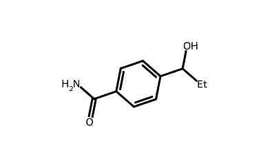 CCC(O)c1ccc(C(N)=O)cc1